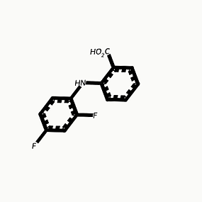 O=C(O)c1ccccc1Nc1ccc(F)cc1F